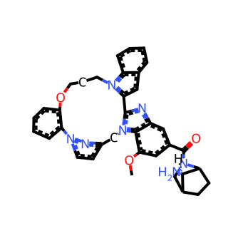 COc1cc(C(=O)N2CC3CCC2[C@@H]3N)cc2nc3n(c12)Cc1ccn(n1)-c1ccccc1OCCCn1c-3cc2ccccc21